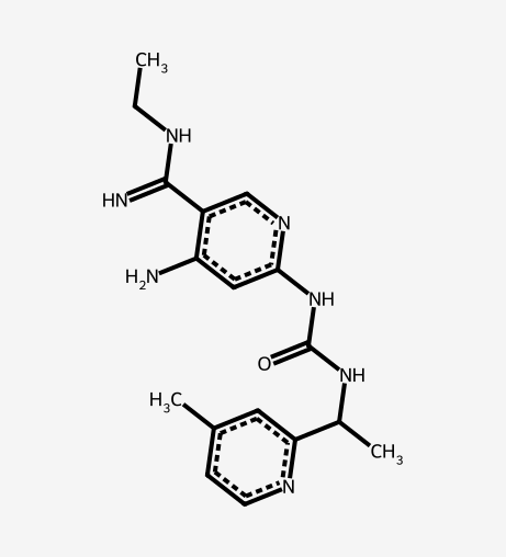 CCNC(=N)c1cnc(NC(=O)NC(C)c2cc(C)ccn2)cc1N